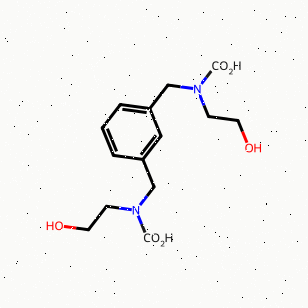 O=C(O)N(CCO)Cc1cccc(CN(CCO)C(=O)O)c1